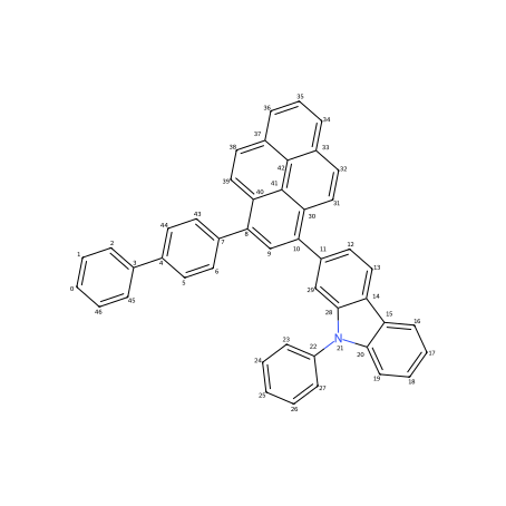 c1ccc(-c2ccc(-c3cc(-c4ccc5c6ccccc6n(-c6ccccc6)c5c4)c4ccc5cccc6ccc3c4c65)cc2)cc1